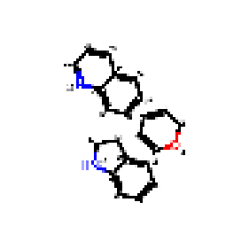 C1=CCOC=C1.c1ccc2c(c1)CCN2.c1ccc2ncccc2c1